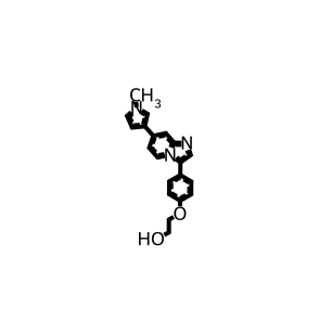 Cn1ccc(-c2ccn3c(-c4ccc(OCCO)cc4)cnc3c2)c1